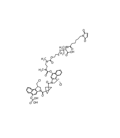 CN(CCN(C)C(=O)Oc1cc2c(c3ccccc13)[C@H](CCl)CN2C(=O)C12CC3(C(=O)N4CC(CCl)c5c4cc(OP(=O)(O)O)c4ccccc54)CC31C2)C(=O)OCCSSC(C)(C)[C@H](NC(=O)CCCCCN1C(=O)C=CC1=O)C(=O)O